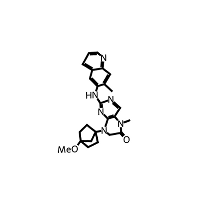 COC12CCC(N3CC(=O)N(C)c4cnc(Nc5cc6cccnc6cc5C)nc43)(CC1)C2